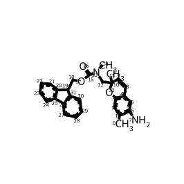 Cc1cc2c(cc1N)C=CC(C)(CN(C)C(=O)OCC1c3ccccc3-c3ccccc31)O2